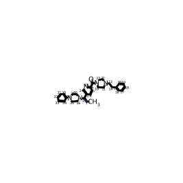 C/C=C(\c1ccc(C(=O)N2CCN(CCc3ccccc3)CC2)nc1)N1CCN(c2ccccc2)CC1